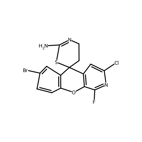 NC1=NCCC2(S1)c1cc(Br)ccc1Oc1c2cc(Cl)nc1F